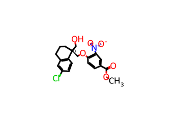 COC(=O)c1ccc(OC[C@]2(CO)CCCc3cc(Cl)ccc32)c([N+](=O)[O-])c1